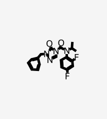 CC(C)N(C(=O)n1cnn(Cc2ccccc2)c1=O)c1ccc(F)cc1F